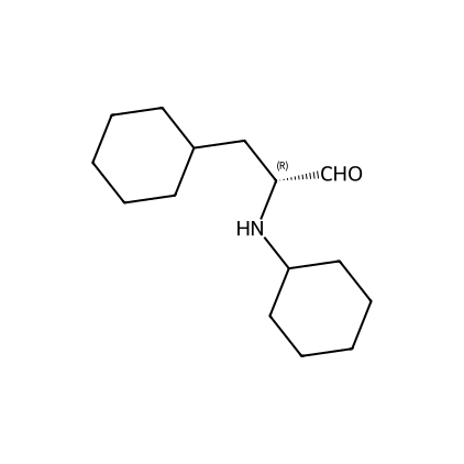 O=C[C@@H](CC1CCCCC1)NC1CCCCC1